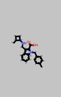 Cc1ccc(Cn2c(C(=O)O)c(CNC3CCC3C)c3ccccc32)cc1